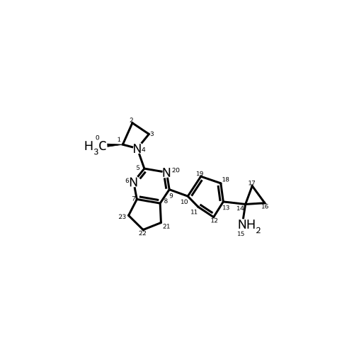 C[C@H]1CCN1c1nc2c(c(-c3ccc(C4(N)CC4)cc3)n1)CCC2